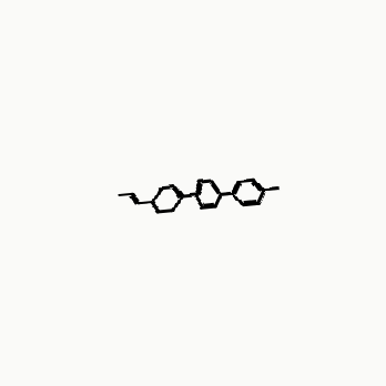 C/C=C/C1CC=C(c2ccc(-c3ccc(C)cc3)cc2)CC1